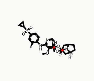 COc1c(Nc2ccc(S(=O)(=O)C3CC3)cc2F)ncnc1OC1CC2CC[C@@H](C1)N2C(=O)OC(C)(C)C